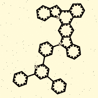 c1ccc(-c2cc(-c3ccccc3)nc(-c3cccc(-n4c5ccccc5c5cc6c7ccccc7c7cc8ccccc8n7c6cc54)c3)c2)cc1